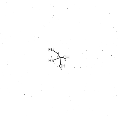 CCCC(O)(O)S